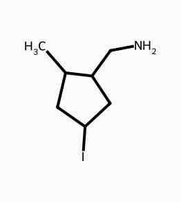 CC1CC(I)CC1CN